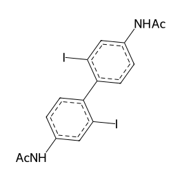 CC(=O)Nc1ccc(-c2ccc(NC(C)=O)cc2I)c(I)c1